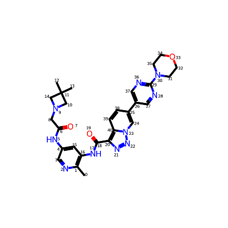 Cc1ncc(NC(=O)CN2CC(C)(C)C2)cc1NC(=O)c1nnn2cc(-c3cnc(N4CCOCC4)nc3)ccc12